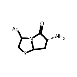 CC(=O)C1CSC2C[C@@H](N)C(=O)N21